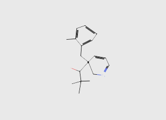 CC(C)(C(=O)O)C(O)C1(Cc2ccccc2C(F)(F)F)C=CC=NC1